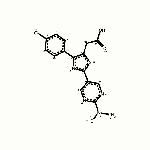 CN(C)c1ncc(-c2nc(-c3ccc(Cl)cc3)c(CC(=O)O)s2)cn1